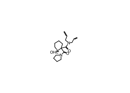 C=CCN(CC=C)C(=O)C1(C(=O)N2CCCC2)CCCCN1[C]=O